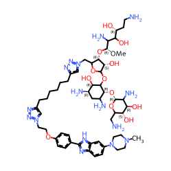 CO[C@H](O[C@H]1C(Cn2cc(CCCCCCc3cn(CCOc4ccc(-c5nc6ccc(N7CCN(C)CC7)cc6[nH]5)cc4)nn3)nn2)OC(OC2[C@H](O[C@H]3OC(CN)[C@@H](O)[C@H](O)C3N)C(N)C[C@@H](N)[C@H]2O)[C@H]1O)C(N)C(O)[C@H](O)CCN